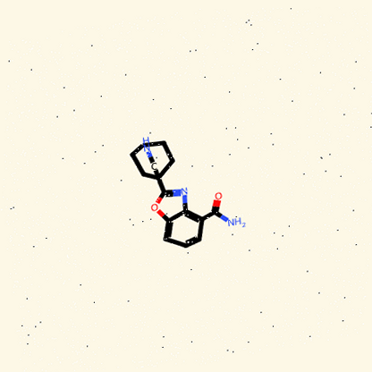 NC(=O)c1cccc2oc(C34CCC(CC3)NC4)nc12